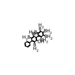 Bc1c(B)c(B)c(-c2c(B)c(B)c(-c3ccccc3)c(B)c2O)c(B)c1B